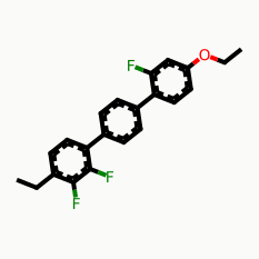 CCOc1ccc(-c2ccc(-c3ccc(CC)c(F)c3F)cc2)c(F)c1